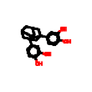 Oc1ccc(C23CC4CC(C2)CC(c2ccc(O)c(O)c2)(C4)C3)cc1O